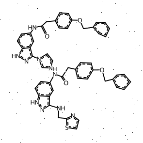 O=C(Cc1ccc(OCc2ccccc2)cc1)Nc1ccc2[nH]nc(-n3ccnc3)c2c1.O=C(Cc1ccc(OCc2ccccc2)cc1)Nc1ccc2[nH]nc(NCc3nccs3)c2c1